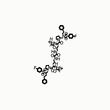 CN[C@@H](C)C(=O)N[C@@H](CCCNC(=O)C(=O)NCCC[C@H](NC(=O)[C@H](C)NC)C(=O)N1CCC[C@H]1CN(CCc1ccccc1)S(=O)(=O)c1ccc(F)cc1)C(=O)N1CCC[C@H]1CC(CCc1ccccc1)S(=O)(=O)c1ccc(F)cc1